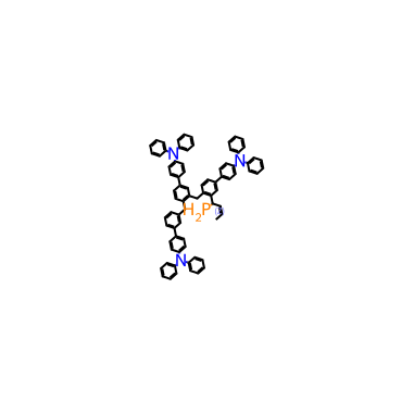 C/C=C\C(P)c1cc(-c2ccc(N(c3ccccc3)c3ccccc3)cc2)ccc1Cc1cc(-c2ccc(N(c3ccccc3)c3ccccc3)cc2)ccc1Cc1cccc(-c2ccc(N(c3ccccc3)c3ccccc3)cc2)c1